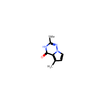 CSc1nn2ccc(C)c2c(=O)[nH]1